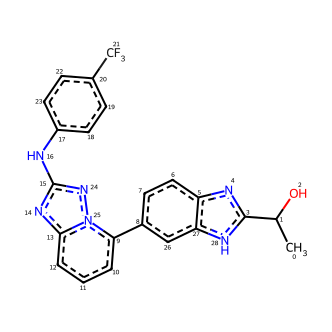 CC(O)c1nc2ccc(-c3cccc4nc(Nc5ccc(C(F)(F)F)cc5)nn34)cc2[nH]1